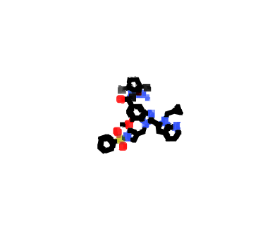 COc1cc(C(=O)N2C[C@H]3CC[C@@H]2[C@@H]3N)cc2nc(-c3cc4cccnc4n3CC3CC3)n(CC3CN(S(=O)(=O)c4ccccc4)C3)c12